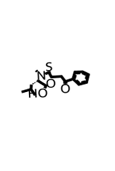 CC(C)C[C@@H](C(=O)O)N(C)C(=S)CCC(=O)c1ccccc1